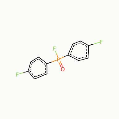 O=P(F)(c1ccc(F)cc1)c1ccc(F)cc1